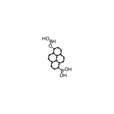 OBOc1ccc2ccc3c(B(O)O)ccc4ccc1c2c43